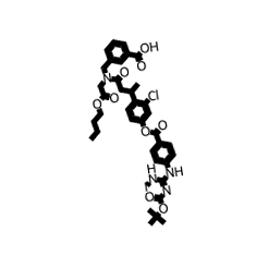 CCCCOC(=O)CN(Cc1cccc(C(=O)O)c1)C(=O)CC(C)c1ccc(OC(=O)c2ccc(N/C(=N/C(=O)OC(C)(C)C)NI)cc2)cc1Cl